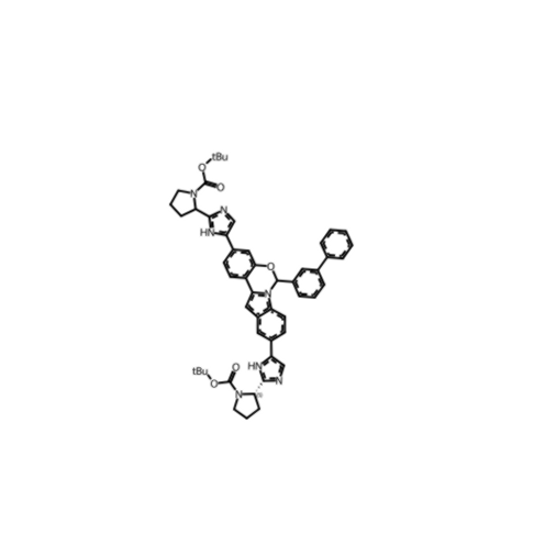 CC(C)(C)OC(=O)N1CCCC1c1ncc(-c2ccc3c(c2)OC(c2cccc(-c4ccccc4)c2)n2c-3cc3cc(-c4cnc([C@@H]5CCCN5C(=O)OC(C)(C)C)[nH]4)ccc32)[nH]1